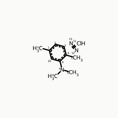 Cc1ccc(C)c(N(C)C)c1.Cl.N#N